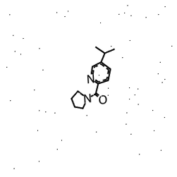 CC(C)c1ccc(C(=O)N2CCCC2)nc1